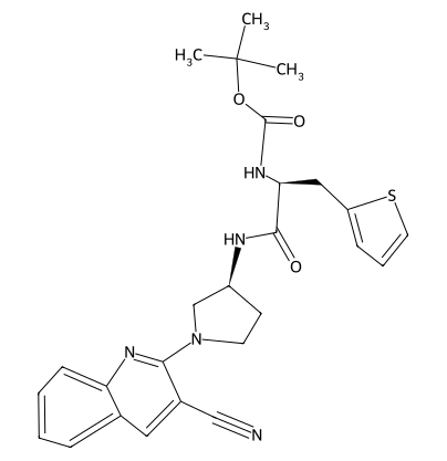 CC(C)(C)OC(=O)N[C@@H](Cc1cccs1)C(=O)N[C@H]1CCN(c2nc3ccccc3cc2C#N)C1